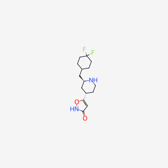 O=c1cc([C@H]2CCN[C@H](CC3CCC(F)(F)CC3)C2)o[nH]1